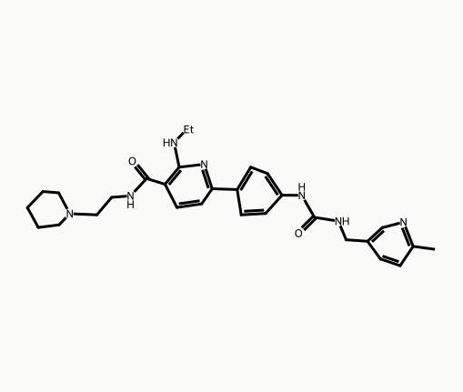 CCNc1nc(-c2ccc(NC(=O)NCc3ccc(C)nc3)cc2)ccc1C(=O)NCCN1CCCCC1